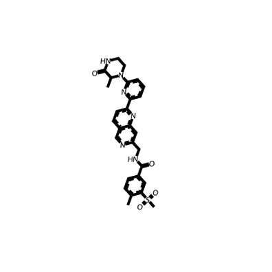 Cc1ccc(C(=O)NCc2cc3nc(-c4cccc(N5CCNC(=O)C5C)n4)ccc3cn2)cc1S(C)(=O)=O